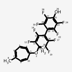 C=C(OC1=C=CC=C(C)C=C1)/C(F)=C(F)\C(=C(\F)CF)c1c(F)c(F)c(O)c(F)c1F